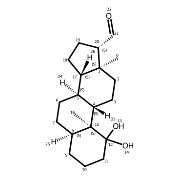 C[C@]12CC[C@H]3[C@@H](CC[C@@H]4CCCC(O)(O)[C@@]43C)[C@@H]1CC[C@@H]2C=O